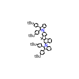 CC(C)(C)c1ccc(-c2c(-c3ccc(C(C)(C)C)cc3)n(-c3ccc4c(c3)C(C)(C)c3cc(-n5c(-c6ccc(C(C)(C)C)cc6)c(-c6ccc(C(C)(C)C)cc6)c6ccccc65)c5ccccc5c3-4)c3ccccc23)cc1